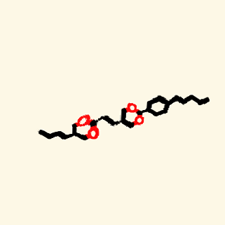 CC/C=C/[C@H]1CO[C@H](CC[C@H]2CO[C@H](C3CCC(CCCCC)CC3)OC2)OC1